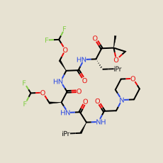 CC(C)C[C@H](NC(=O)CN1CCOCC1)C(=O)N[C@@H](COC(F)F)C(=O)N[C@@H](COC(F)F)C(=O)N[C@@H](CC(C)C)C(=O)[C@]1(C)CO1